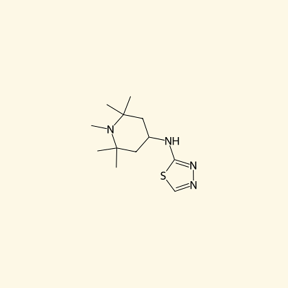 CN1C(C)(C)CC(Nc2nncs2)CC1(C)C